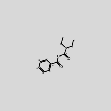 CCN(CC)C(=O)OC(=O)c1ccccc1